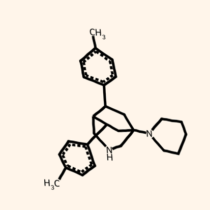 Cc1ccc(C2CC3(N4CCCCC4)CNCC2C(c2ccc(C)cc2)C3)cc1